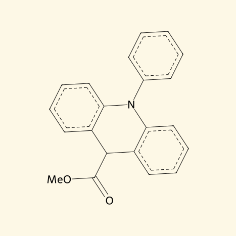 COC(=O)C1c2ccccc2N(c2ccccc2)c2ccccc21